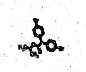 CC(C)OC(=O)C(c1ccc(Br)cc1)c1ccc(Br)cc1